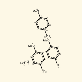 COc1ccc(P)cc1.COc1ccc(P)cc1.COc1ccc(P)cc1.Cl.Cl